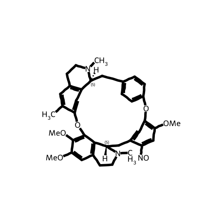 COc1cc(N=O)c2cc1Oc1ccc(cc1)C[C@H]1c3cc(c(C)cc3CCN1C)Oc1c(OC)c(OC)cc3c1[C@H](C2)N(C)CC3